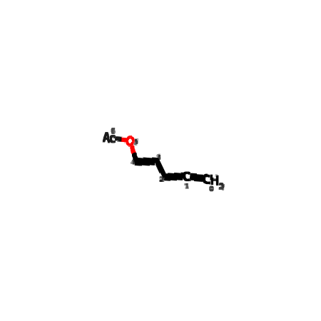 C=C=CC=COC(C)=O